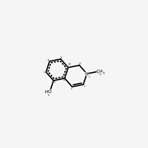 CN1C=Cc2c(O)cccc2C1